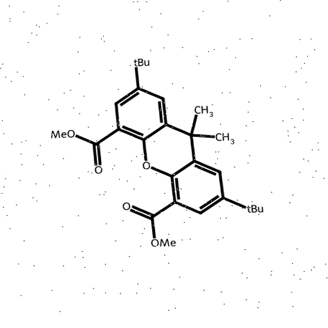 COC(=O)c1cc(C(C)(C)C)cc2c1Oc1c(C(=O)OC)cc(C(C)(C)C)cc1C2(C)C